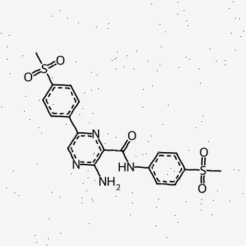 CS(=O)(=O)c1ccc(NC(=O)c2nc(-c3ccc(S(C)(=O)=O)cc3)cnc2N)cc1